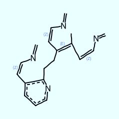 C=N\C=C/C(C)=C(/C=C\N=C)CCc1ncccc1/C=C\N=C